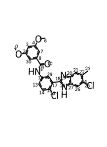 COc1cc(OC)cc(C(=O)Nc2ccc(Cl)c(-c3nc4cc(C)c(Cl)cc4[nH]3)c2)c1